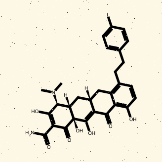 CN(C)[C@@H]1C(O)=C(C(N)=O)C(=O)[C@@]2(O)C(O)=C3C(=O)c4c(O)ccc(CCc5ccc(I)cc5)c4C[C@H]3C[C@@H]12